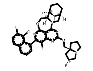 Fc1ccc2cccc(-c3nc4c5c(nc(OC[C@@]67CCCN6C[C@H](F)C7)nc5c3F)N3C[C@@H]5CCC[C@@H](N5)[C@@H]3CO4)c2c1Cl